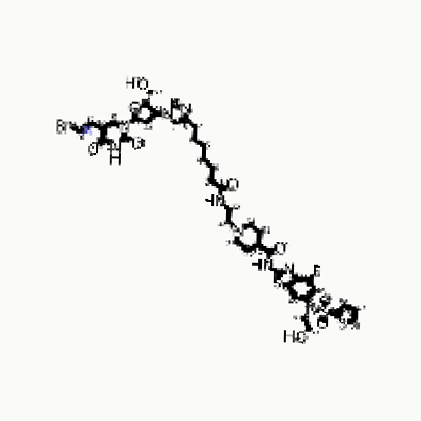 O=C(CCCCCCc1cn(C2C[C@H](n3cc(/C=C/Br)c(=O)[nH]c3=O)O[C@@H]2CO)nn1)NCCN1CCC(C(=O)Nc2nc3c(F)cc(N(CCO)S(=O)(=O)c4cccs4)cc3s2)CC1